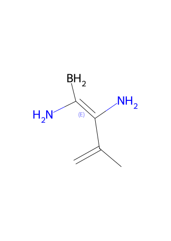 B/C(N)=C(\N)C(=C)C